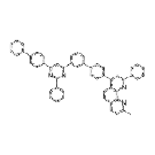 Cc1ccc2ccc3c(-c4ccc(-c5cccc(-c6cc(-c7ccc(-c8ccccc8)cc7)nc(-c7ccccc7)n6)c5)cc4)cc(-c4ccccc4)nc3c2n1